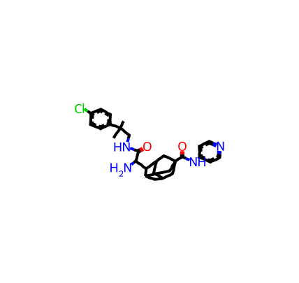 CC(C)(CNC(=O)C(N)C1C2CC3CC1CC(C(=O)Nc1ccncc1)(C3)C2)c1ccc(Cl)cc1